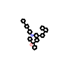 c1ccc(-c2ccc(-c3ccc(N(c4ccc(-c5cccc(-c6cccc7ccccc67)c5)cc4)c4cccc(-c5oc6ccccc6c5-c5ccccc5)c4)cc3)cc2)cc1